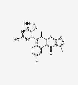 Cc1csc2nc(C(C)Nc3nc(O)nc4[nH]cnc34)c(-c3cccc(F)c3)c(=O)n12